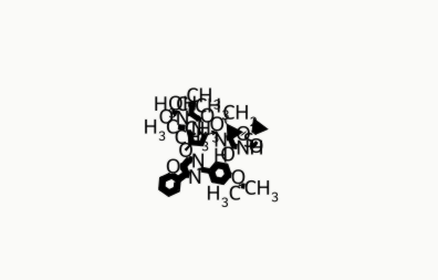 C=C[C@@H]1CC1(NC(=O)[C@@H]1C[C@@H](Oc2nc(-c3ccc(OC(C)C)cc3)nc3c2oc2ccccc23)CN1C(=O)[C@@H](N(C(=O)O)C(C)(C)C)C(C)(C)C)C(=O)NS(=O)(=O)C1CC1